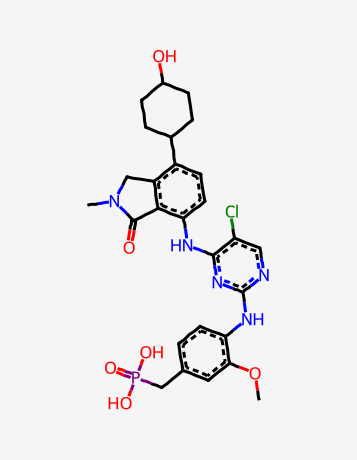 COc1cc(CP(=O)(O)O)ccc1Nc1ncc(Cl)c(Nc2ccc(C3CCC(O)CC3)c3c2C(=O)N(C)C3)n1